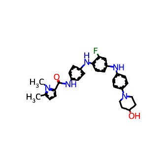 Cc1ccc(C(=O)Nc2ccc(Nc3ccc(Nc4ccc(N5CCC(O)CC5)cc4)cc3F)cc2)n1C